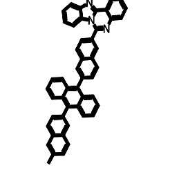 Cc1ccc2cc(-c3c4ccccc4c(-c4ccc5cc(-c6nc7ccccc7c7nc8ccccc8n67)ccc5c4)c4ccccc34)ccc2c1